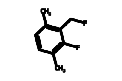 Cc1ccc(C)c(CF)c1F